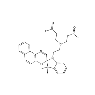 CC1(C)c2ccccc2N(CCN(CCC(=O)F)CCC(=O)F)C12C=Nc1c(ccc3ccccc13)O2